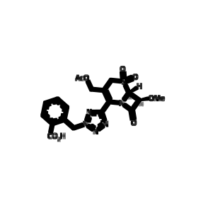 CO[C@H]1C(=O)N2C(c3nnn(Cc4ccccc4C(=O)O)n3)=C(COC(C)=O)CS(=O)(=O)[C@H]12